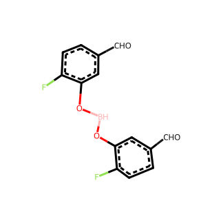 O=Cc1ccc(F)c(OBOc2cc(C=O)ccc2F)c1